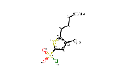 COCCCc1sc(S(=O)(=O)Cl)cc1C